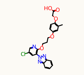 Cc1cc(OCCCOc2ncc(Cl)cc2-n2nc3ccccc3n2)ccc1OCC(=O)O